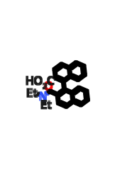 CCN(CC)C(=O)c1ccc2ccccc2c1-c1c(C(=O)O)ccc2ccccc12